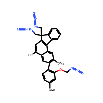 COc1ccc(-c2cc3c(N=O)cc4c(c3cc2OC)-c2ccccc2C4(CN=[N+]=[N-])CN=[N+]=[N-])c(OCN=[N+]=[N-])c1